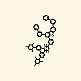 Cc1cc(C)c(-c2ccc3c(c2)c2cc(-c4c(C)cc(C)cc4C)ccc2c2nc(-c4cccc(-c5cc(-c6cccc(-c7ccccc7)c6)cc6c5sc5ccc(-c7cccc(-c8ccccc8)c7)cc56)c4)cnc32)c(C)c1